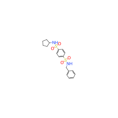 O=S(=O)(NCc1ccccc1)c1ccc(S(=O)(=O)NC2CCCC2)cc1